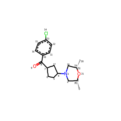 C[C@@H]1CN(C2CCC(C(=O)c3ccc(Cl)cc3)C2)C[C@H](C)O1